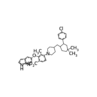 Cc1c(N2CCC(CC3CCC(C)(C)CC3c3ccc(Cl)cc3)CC2)ccc(C(=O)O)c1Oc1cnc2[nH]ccc2c1